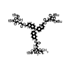 CC(C)(C)OC(=O)N[C@@H](CCC(=O)OCc1ccc2ccc(N(c3ccc4ccc(COC(=O)CC[C@H](NC(=O)OC(C)(C)C)C(=O)OC(C)(C)I)cc4c3)c3ccc4ccc(COC(=O)CC[C@H](NC(=O)OC(C)(C)C)C(=O)OC(C)(C)C)nc4c3)cc2n1)C(=O)OC(C)(C)C